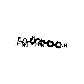 Fc1cc(-c2nnc(C(F)F)o2)cnc1Cn1cc(-c2ccc(C3CCNCC3)cc2)nn1